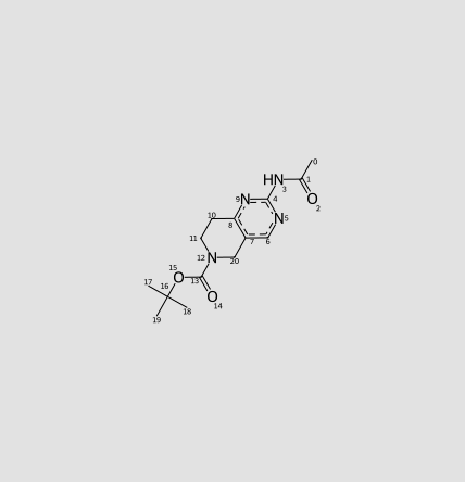 CC(=O)Nc1ncc2c(n1)CCN(C(=O)OC(C)(C)C)C2